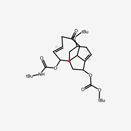 CC(C)(C)NC(=O)OC1/C=C/CC(=O)CC(/C2=C\CC(OC(C)(C)C)CCCC2OC(=O)OC(C)(C)C)C1